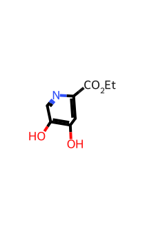 CCOC(=O)c1cc(O)c(O)cn1